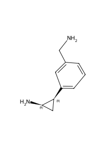 NCc1cccc([C@H]2C[C@H]2N)c1